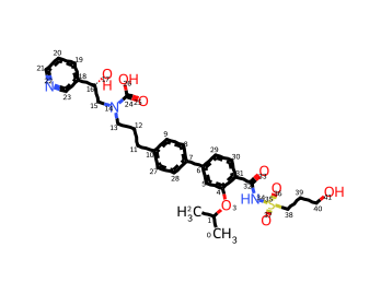 CC(C)Oc1cc(-c2ccc(CCCN(C[C@@H](O)c3cccnc3)C(=O)O)cc2)ccc1C(=O)NS(=O)(=O)CCCO